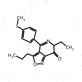 CCCc1onc2c1C(c1ccc(SC)cc1)=NC(CC)C2=O